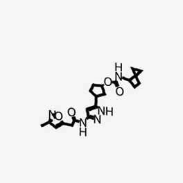 Cc1cc(CC(=O)Nc2cc(C3CC[C@@H](OC(=O)NC4CCC45CC5)C3)[nH]n2)on1